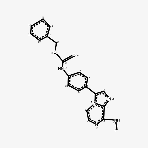 CNc1nccn2c(-c3ccc(NC(=O)OCc4ccccc4)cc3)cnc12